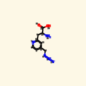 [N-]=[N+]=NCc1ccnc(CC(N)C(=O)O)c1